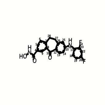 O=C(NO)c1ccc2c(c1)C(=O)c1ccc(Nc3ccc(F)cc3F)cc1CC2